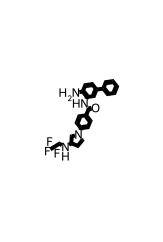 Nc1ccc(-c2ccccc2)cc1NC(=O)c1ccc(N2CCC(NCC(F)(F)F)C2)cc1